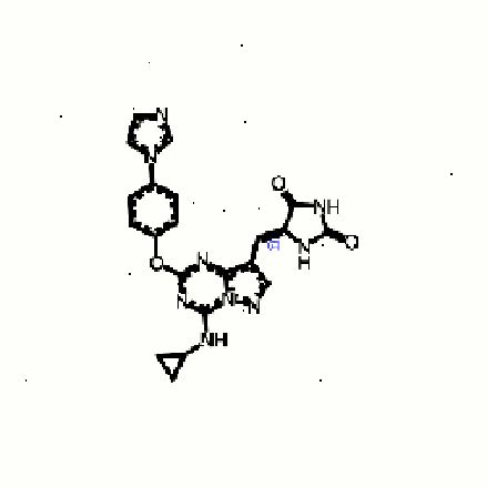 O=C1NC(=O)/C(=C/c2cnn3c(NC4CC4)nc(Oc4ccc(-n5ccnc5)cc4)nc23)N1